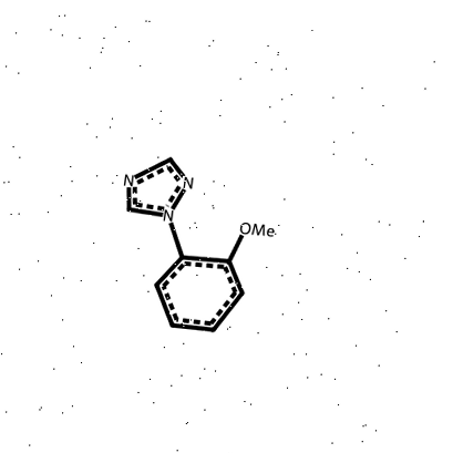 COc1ccccc1-n1cncn1